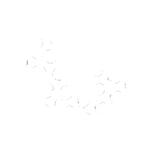 c1ccc(-n2c3ccccc3c3cc(-c4ccc5c(c4)c4ccccc4n5-c4ccc(-c5cccc(-c6cnc7c8ccccc8c8ccccc8c7n6)c5)cc4)ccc32)cc1